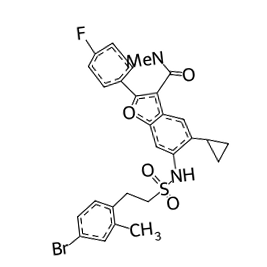 CNC(=O)c1c(-c2ccc(F)cc2)oc2cc(NS(=O)(=O)CCc3ccc(Br)cc3C)c(C3CC3)cc12